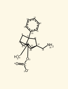 CC1(O[N+](=O)[O-])C=C2CC3(c4ccccc4)CC(CN)(CC23)C1